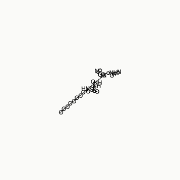 COCCOCCOCCOCCOCCOCCOCCOCCC(=O)NCCCC[C@H](NC(=O)CN1C(=O)C=CC1=O)C(=O)NCCCCCCN1N=C(c2ccc(NC(=O)N3Cc4ccncc4C3)cc2)CC(c2cccc3ncccc23)C1=O